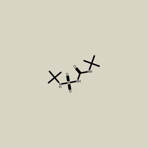 CC(C)(C)NC(=O)NS(=O)(=O)NC(C)(C)C